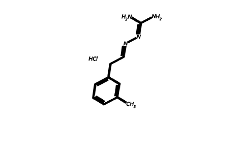 Cc1cccc(CC=NN=C(N)N)c1.Cl